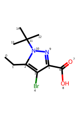 CCc1c(Br)c(C(=O)O)nn1C(C)(C)C